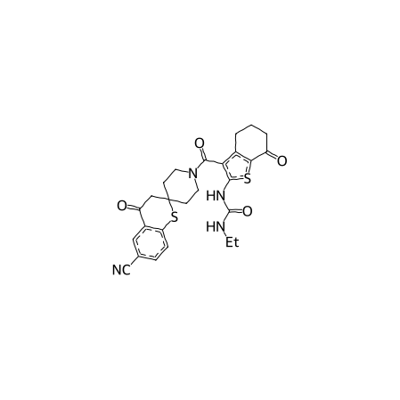 CCNC(=O)Nc1sc2c(c1C(=O)N1CCC3(CC1)CC(=O)c1cc(C#N)ccc1S3)CCCC2=O